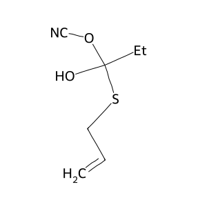 C=CCSC(O)(CC)OC#N